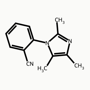 Cc1nc(C)n(-c2ccccc2C#N)c1C